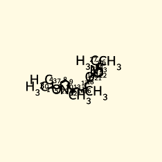 CCC(CC)Oc1cccc(C(C)CCC(C)CCOc2cccc(C(C)C)n2)n1